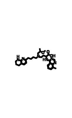 COC(C)CN(CCCCc1ccc2c(n1)NCCC2)CCC(Nc1ncnc2c(C)cccc12)C(=O)O